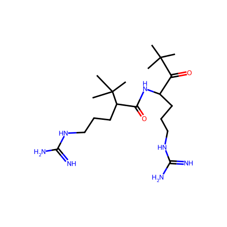 CC(C)(C)C(=O)C(CCCNC(=N)N)NC(=O)C(CCCNC(=N)N)C(C)(C)C